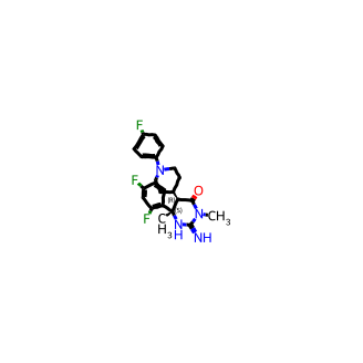 CN1C(=N)N[C@](C)(c2ccc(F)cc2F)[C@@H](C2CCN(c3ccc(F)cc3)CC2)C1=O